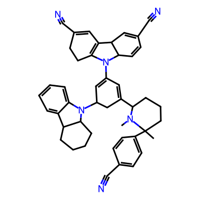 CN1C(C2=CC(N3C4=C(C=C(C#N)CC4)C4C=C(C#N)C=CC43)=CC(N3c4ccccc4C4CCCCC43)C2)CCCC1(C)c1ccc(C#N)cc1